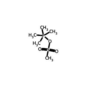 CS(=O)(=O)OP(C)(C)(C)C